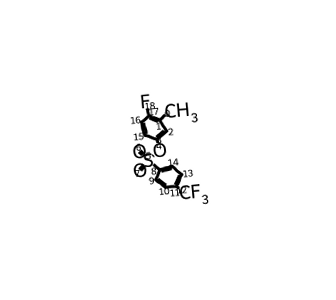 Cc1cc(OS(=O)(=O)c2ccc(C(F)(F)F)cc2)ccc1F